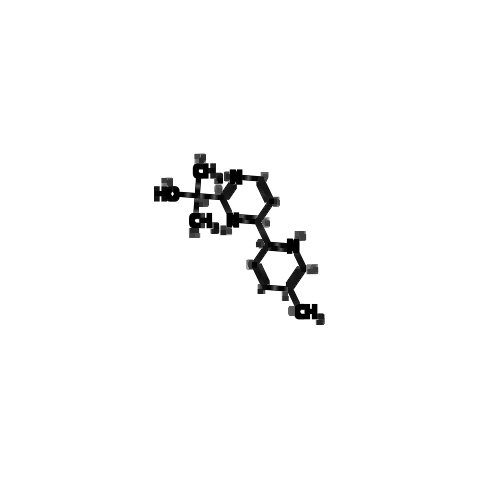 Cc1ccc(-c2ccnc(C(C)(C)O)n2)nc1